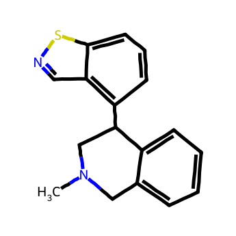 CN1Cc2ccccc2C(c2cccc3sncc23)C1